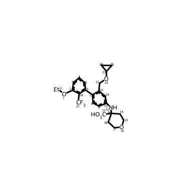 CCOc1cccc(-c2ccc(NC3(C(=O)O)CCOCC3)cc2COC2CC2)c1C(F)(F)F